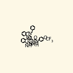 N=NNC(=N)c1ccccc1-c1cc(NC(=O)Nc2ccc(OC(F)(F)F)cc2)cc(N(Cc2ccccc2)Cc2ccccc2)n1